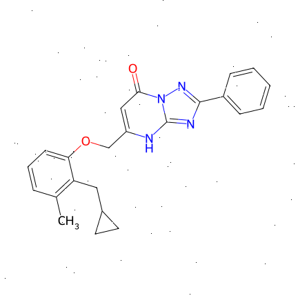 Cc1cccc(OCc2cc(=O)n3nc(-c4ccccc4)nc3[nH]2)c1CC1CC1